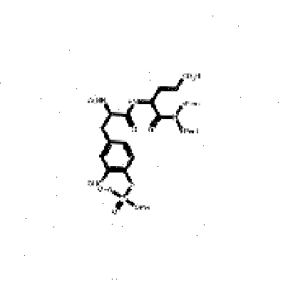 CCCCCN(CCCCC)C(=O)C(CCC(=O)O)NC(=O)C(Cc1ccc(OP(=O)(OC)OC)c(C=O)c1)NC(C)=O